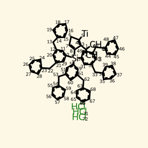 CC(C)C1=[C]([Ti])CC=C1[Si](c1cc(Cc2ccccc2)cc(Cc2ccccc2)c1)(c1cc(Cc2ccccc2)cc(Cc2ccccc2)c1)c1cc(Cc2ccccc2)cc(Cc2ccccc2)c1.Cl.Cl.Cl